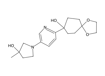 CC1(O)CCN(c2ccc(C3(O)CCC4(CC3)OCCO4)nc2)C1